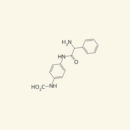 NC(C(=O)Nc1ccc(NC(=O)O)cc1)c1ccccc1